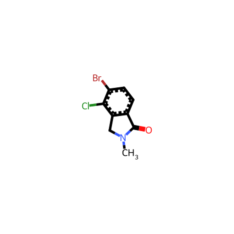 CN1Cc2c(ccc(Br)c2Cl)C1=O